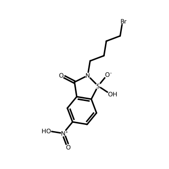 O=C1c2cc([N+](=O)O)ccc2S([O-])(O)N1CCCCBr